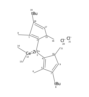 CC1=[C]([Zr+2]([C]2=C(C)C(C(C)(C)C)=CC2C)=[Ge]([CH3])[CH3])C(C)C=C1C(C)(C)C.[Cl-].[Cl-]